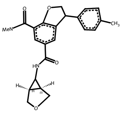 CNC(=O)c1cc(C(=O)NC2[C@H]3COC[C@@H]23)cc2c1OCC2c1ccc(C)cc1